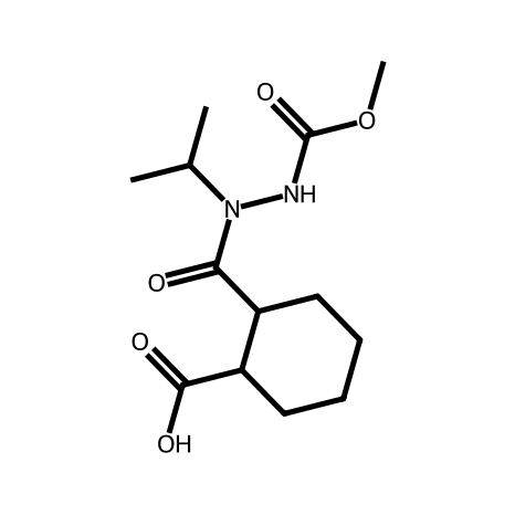 COC(=O)NN(C(=O)C1CCCCC1C(=O)O)C(C)C